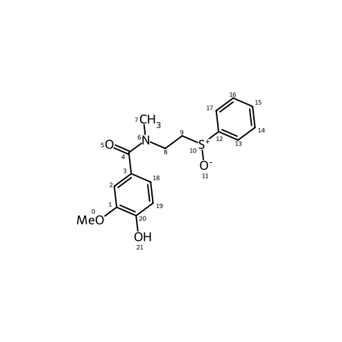 COc1cc(C(=O)N(C)CC[S+]([O-])c2ccccc2)ccc1O